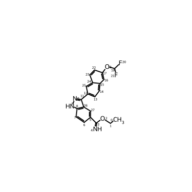 CCOC(=N)c1ccc2[nH]nc(-c3ccc4cc(OC(F)F)ccc4c3)c2c1